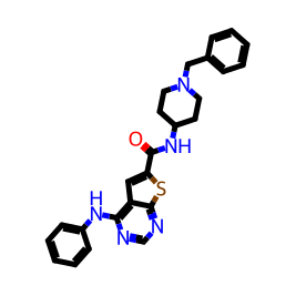 O=C(NC1CCN(Cc2ccccc2)CC1)c1cc2c(Nc3ccccc3)ncnc2s1